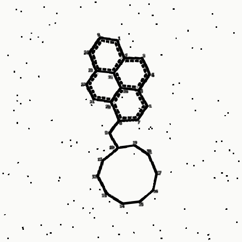 c1cc2ccc3ccc(CC4CCCCCCCCC4)c4ccc(c1)c2c34